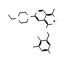 CCN1CCN(c2cc3c(N[C@H](C)c4cc(F)cc(C)c4C)nnc(C)c3cn2)CC1